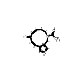 O=C1/C=C\CCN(C(=O)C(F)(F)F)Cc2cscc2/C=C\1